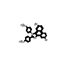 CCCCc1ccc(-c2nc3c4cc(Br)ccc4c4ccc(Br)cc4c3n2-c2ccc(CCCC)cc2)cc1